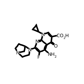 Nc1c(F)c(N2CCN3CCC2C3)nc2c1c(=O)c(C(=O)O)cn2C1CC1